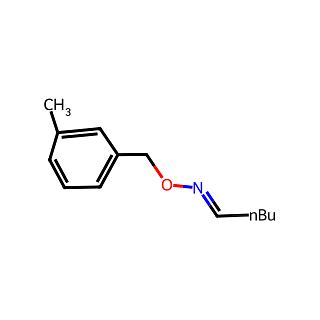 CCCCC=NOCc1cccc(C)c1